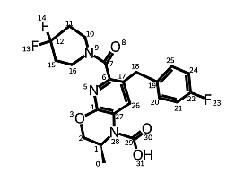 C[C@H]1COc2nc(C(=O)N3CCC(F)(F)CC3)c(Cc3ccc(F)cc3)cc2N1C(=O)O